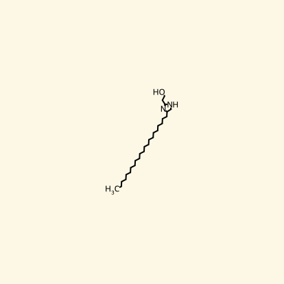 CCCCCCCCCCCCCCCCCCCCCCC1CNC(CCO)=N1